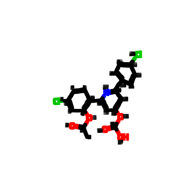 CC(=O)Oc1cc(Cl)ccc1-c1cc(OC(=O)O)cc(-c2ccc(Cl)cc2)n1